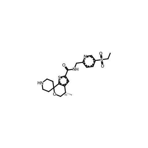 CCS(=O)(=O)c1ccc(CNC(=O)c2cc3c(s2)C2(CCNCC2)OC[C@H]3C)nc1